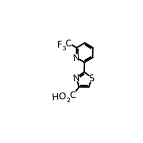 O=C(O)c1csc(-c2cccc(C(F)(F)F)n2)n1